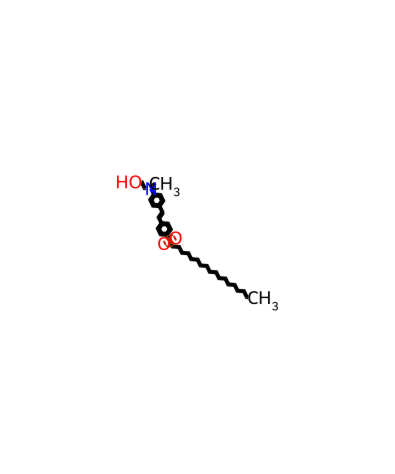 CCCCCCCCCCCCCCCCCCS(=O)(=O)c1ccc(C=Cc2ccc(N(C)CCO)cc2)cc1